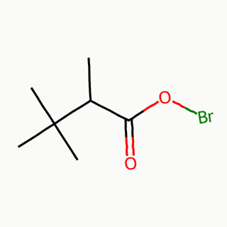 CC(C(=O)OBr)C(C)(C)C